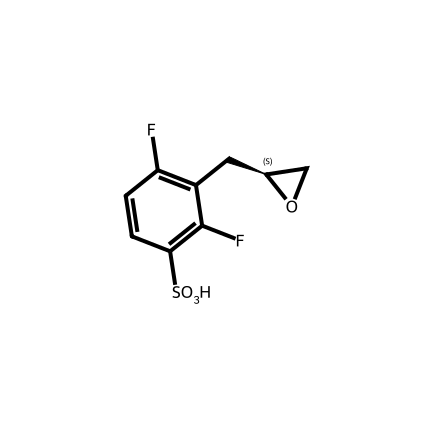 O=S(=O)(O)c1ccc(F)c(C[C@H]2CO2)c1F